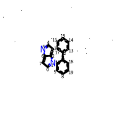 C1=NC2=CC=NC2=C1.c1ccc(-c2ccccc2)cc1